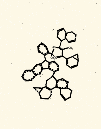 CC1=C(C2CC=CC3=C2C=CCC3)NC(C)(c2ccccc2C2c3cc4ccccc4cc3-c3c(C4CC5=C(CCCC6CC56)c5c4ccc4c5C=CCC4)cccc32)N=C1C1=CC=CC2CC12